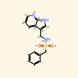 O=S(=O)(Cc1ccccc1)NCc1c[nH]c2ncccc12